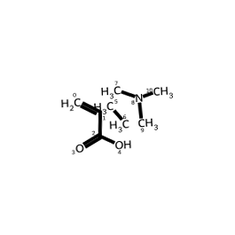 C=CC(=O)O.CC.CN(C)C